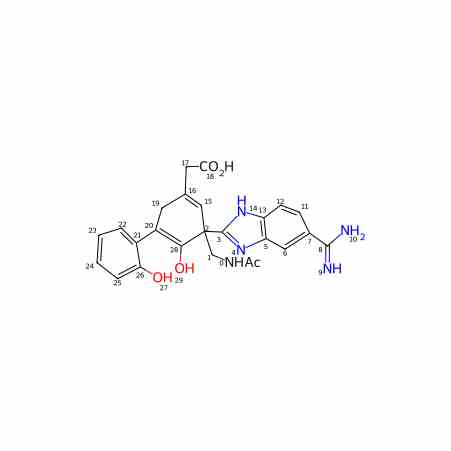 CC(=O)NCC1(c2nc3cc(C(=N)N)ccc3[nH]2)C=C(CC(=O)O)CC(c2ccccc2O)=C1O